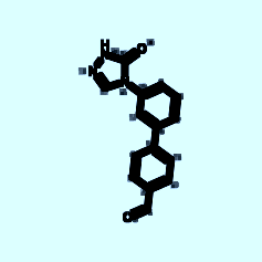 O=Cc1ccc(-c2cccc(-n3cn[nH]c3=O)c2)cc1